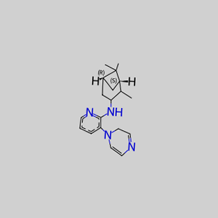 CC1C(Nc2ncccc2N2C=CN=CC2)C[C@H]2C[C@@H]1C2(C)C